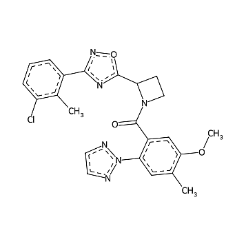 COc1cc(C(=O)N2CCC2c2nc(-c3cccc(Cl)c3C)no2)c(-n2nccn2)cc1C